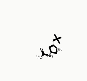 CC(C)(C)C[C@H]1C[C@@H](NC(=O)O)CN1